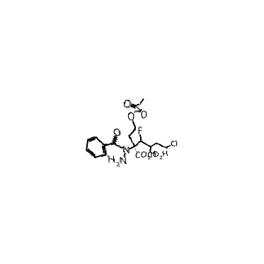 CS(=O)(=O)OCC[C@@](C(=O)O)(C(F)C(CCCl)C(=O)O)N(N)C(=O)c1ccccc1